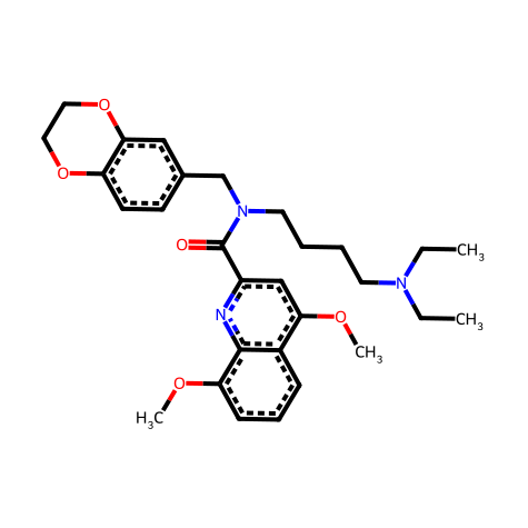 CCN(CC)CCCCN(Cc1ccc2c(c1)OCCO2)C(=O)c1cc(OC)c2cccc(OC)c2n1